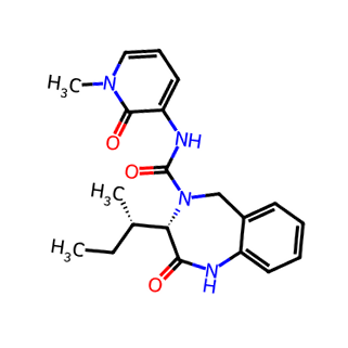 CC[C@H](C)[C@H]1C(=O)Nc2ccccc2CN1C(=O)Nc1cccn(C)c1=O